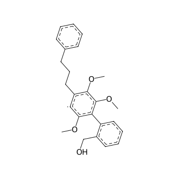 COc1[c]c(CCCc2ccccc2)c(OC)c(OC)c1-c1ccccc1CO